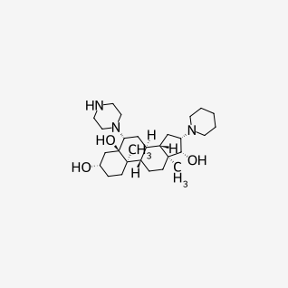 C[C@]12CC[C@H]3[C@@H](C[C@@H](N4CCNCC4)[C@@]4(O)C[C@@H](O)CC[C@]34C)[C@@H]1C[C@H](N1CCCCC1)[C@@H]2O